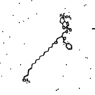 CCCCCCCCCCCCCCCCOCC(COP1(=O)OC2CC[N+](C)(C)C2O1)OCc1ccccc1